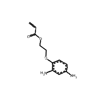 C=CC(=O)OCCOc1ccc(N)cc1N